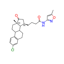 Cc1cc(NC(=O)CCC[C@@H]2CC(=O)[C@@]3(C)CCC4c5ccc(Cl)cc5CCC4C23)no1